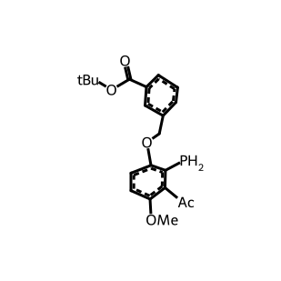 COc1ccc(OCc2cccc(C(=O)OC(C)(C)C)c2)c(P)c1C(C)=O